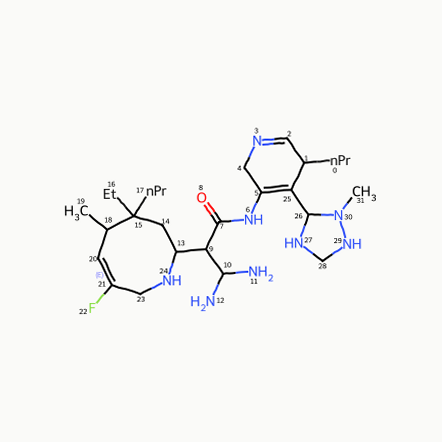 CCCC1C=NCC(NC(=O)C(C(N)N)C2CC(CC)(CCC)C(C)/C=C(/F)CN2)=C1C1NCNN1C